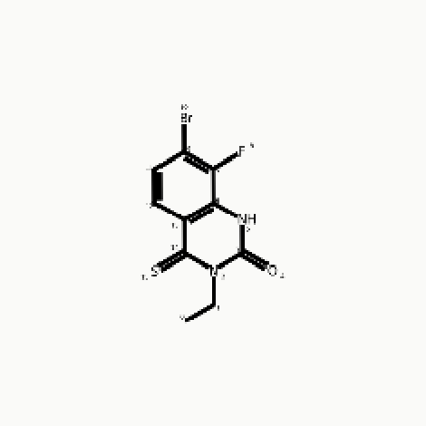 CCn1c(=O)[nH]c2c(F)c(Br)ccc2c1=S